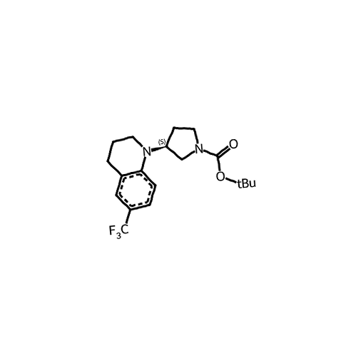 CC(C)(C)OC(=O)N1CC[C@H](N2CCCc3cc(C(F)(F)F)ccc32)C1